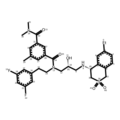 CCc1ccc2c(c1)[C@@H](NC[C@@H](O)CN(CCc1cc(F)cc(F)c1)C(=O)c1cc(C)cc(C(=O)N(C)C)c1)CS(=O)(=O)C2